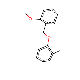 COc1ccccc1COc1ccccc1C